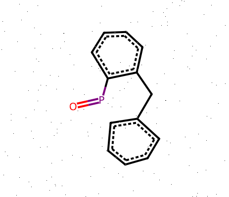 O=Pc1ccccc1Cc1ccccc1